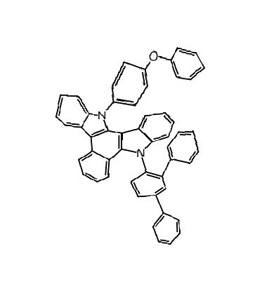 c1ccc(Oc2ccc(-n3c4ccccc4c4c5ccccc5c5c(c6ccccc6n5-c5ccc(-c6ccccc6)cc5-c5ccccc5)c43)cc2)cc1